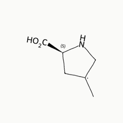 C[C]1CN[C@H](C(=O)O)C1